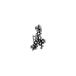 O=C(Nc1ccc(OC(F)(F)C(F)F)cc1)N[C@@](Cc1ccccc1)(c1cccc(OC(F)(F)C(F)F)c1)c1ccc(CI)cn1